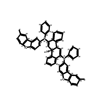 Cc1ccc2oc3ccc(N(C4=C[C@H]5c6ccccc6C(N(c6ccccc6)c6ccc7oc8ccc(C)cc8c7c6)=CC5c5ccccc54)c4ccccc4)cc3c2c1